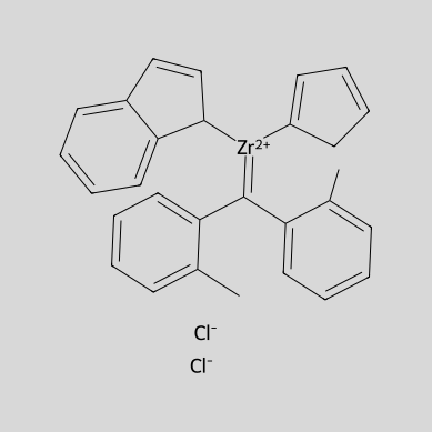 Cc1ccccc1[C](c1ccccc1C)=[Zr+2]([C]1=CC=CC1)[CH]1C=Cc2ccccc21.[Cl-].[Cl-]